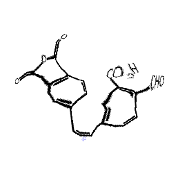 O=Cc1ccc(/C=C\c2ccc3c(c2)C(=O)OC3=O)cc1C(=O)O